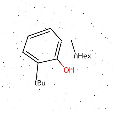 CC(C)(C)c1ccccc1O.CCCCCCC